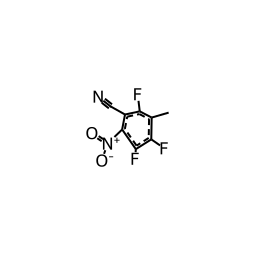 Cc1c(F)c(F)c([N+](=O)[O-])c(C#N)c1F